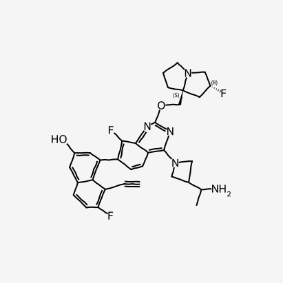 C#Cc1c(F)ccc2cc(O)cc(-c3ccc4c(N5CC(C(C)N)C5)nc(OC[C@@]56CCCN5C[C@H](F)C6)nc4c3F)c12